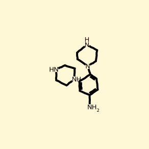 C1CNCCN1.Nc1ccc(N2CCNCC2)cc1